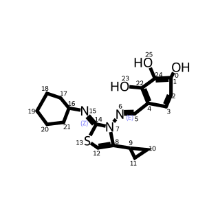 Oc1ccc(/C=N/n2c(C3CC3)cs/c2=N\C2CCCCC2)c(O)c1O